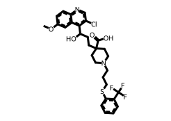 COc1ccc2ncc(Cl)c(C(O)CCC3(C(=O)O)CCN(CCCSc4ccccc4C(F)(F)F)CC3)c2c1